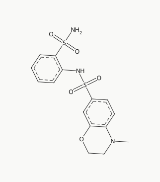 CN1CCOc2cc(S(=O)(=O)Nc3ccccc3S(N)(=O)=O)ccc21